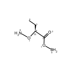 BOC(=O)[C@H](CC)ON